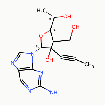 CC#CC1(O)C(CO)[C@@H]([C@H](C)O)O[C@H]1n1cnc2cnc(N)nc21